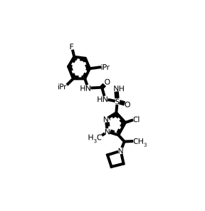 CC(C)c1cc(F)cc(C(C)C)c1NC(=O)NS(=N)(=O)c1nn(C)c(C(C)N2CCC2)c1Cl